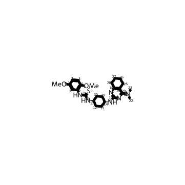 COc1ccc(OC)c(NC(=S)N[C@H]2CC[C@@H](Nc3nc4c(c(N(C)C)n3)CCCC4)CC2)c1